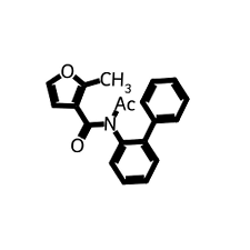 CC(=O)N(C(=O)c1ccoc1C)c1ccccc1-c1ccccc1